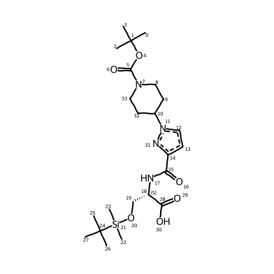 CC(C)(C)OC(=O)N1CCC(n2ccc(C(=O)N[C@@H](CO[Si](C)(C)C(C)(C)C)C(=O)O)n2)CC1